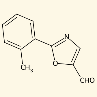 Cc1ccccc1-c1ncc(C=O)o1